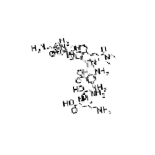 CC(N)C(=O)O.CCN(CC)C(=O)[C@@H]1C=C2c3cccc4[nH]cc(c34)C[C@H]2N(C)C1.NCC(=O)O.NCCCCC(N)C(=O)O.NCCS(=O)(=O)O.Nc1cc(N)cc(C(=O)O)c1